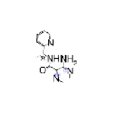 C/N=C(N)\C(=N/C)C(=O)N[C@H](C)c1ccccn1